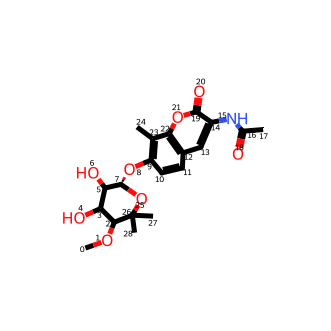 COC1C(O)C(O)[C@H](Oc2ccc3cc(NC(C)=O)c(=O)oc3c2C)OC1(C)C